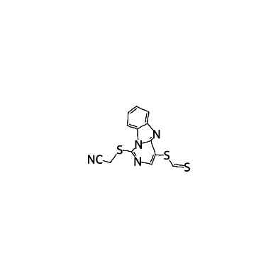 N#CCSc1ncc(SC=S)c2nc3ccccc3n12